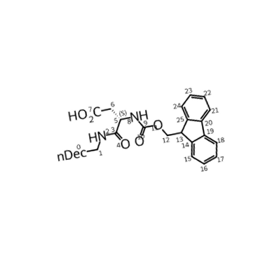 CCCCCCCCCCCNC(=O)[C@H](CC(=O)O)NC(=O)OCC1c2ccccc2-c2ccccc21